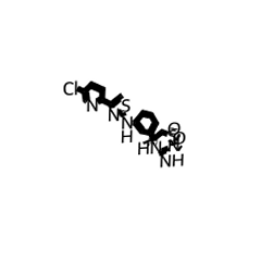 CN1C(=N)N[C@](C)(c2cccc(Nc3nc(-c4ccc(Cl)cn4)cs3)c2)CS1(=O)=O